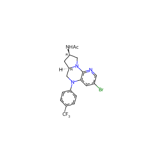 CC(=O)N[C@@H]1C[C@@H]2CN(c3ccc(C(F)(F)F)cc3)c3cc(Br)cnc3N2C1